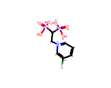 O=P(O)(O)C(C[n+]1cccc(F)c1)P(=O)(O)O